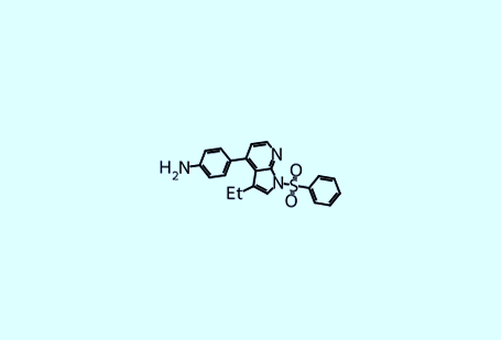 CCc1cn(S(=O)(=O)c2ccccc2)c2nccc(-c3ccc(N)cc3)c12